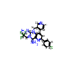 NC1c2nc(-c3ccc(F)cc3)ccc2N(Cc2cccnc2)C(N)N1CC(F)(F)F